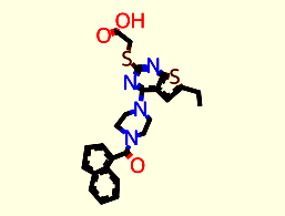 CCc1cc2c(N3CCN(C(=O)c4cccc5ccccc45)CC3)nc(SCC(=O)O)nc2s1